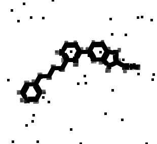 CC(=O)Nc1nc2ccc(-c3ccnc(CCCCc4ccncc4)n3)cc2s1